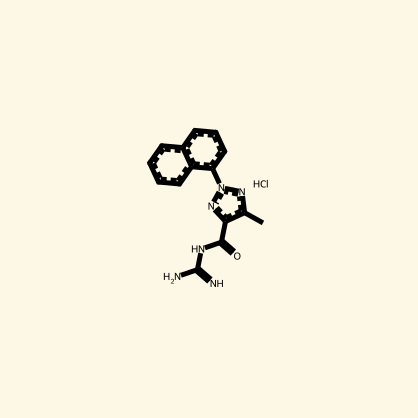 Cc1nn(-c2cccc3ccccc23)nc1C(=O)NC(=N)N.Cl